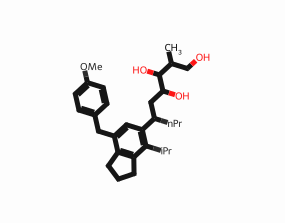 CCCC(CC(O)C(O)C(C)CO)c1cc(Cc2ccc(OC)cc2)c2c(c1C(C)C)CCC2